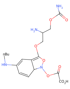 CCCCNC1=CC2=C(OCC(N)COC(N)=O)ON(OC(=O)C(=O)O)C2C=C1